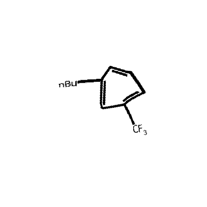 [CH2]CCCc1cccc(C(F)(F)F)c1